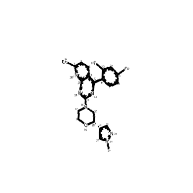 CCc1ccc2c(-c3ccc(F)cc3F)nc(N3CCO[C@@H](c4cnn(C)c4)C3)nc2n1